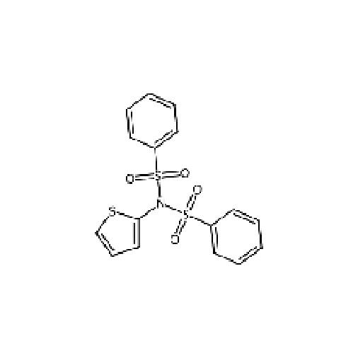 O=S(=O)(c1ccccc1)N(c1cccs1)S(=O)(=O)c1ccccc1